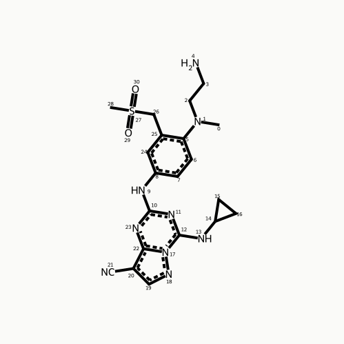 CN(CCN)c1ccc(Nc2nc(NC3CC3)n3ncc(C#N)c3n2)cc1CS(C)(=O)=O